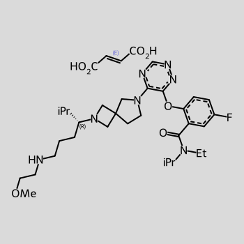 CCN(C(=O)c1cc(F)ccc1Oc1nncnc1N1CCC2(C1)CN([C@H](CCCNCCOC)C(C)C)C2)C(C)C.O=C(O)/C=C/C(=O)O